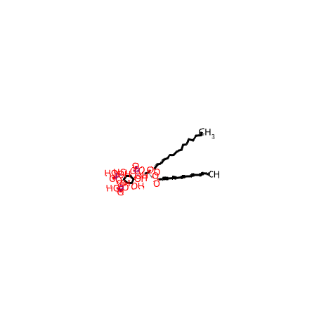 C#CC#CC#CC#CC#CC#CC(=O)OC[C@H](COP(=O)(O)OC1C(O)[C@@H](O)C(OP(=O)(O)O)[C@@H](OP(=O)(O)O)[C@H]1O)OC(=O)CCCCCCCCCCCCCCC